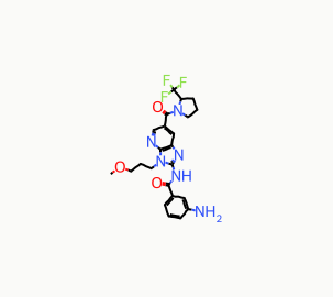 COCCCn1c(NC(=O)c2cccc(N)c2)nc2cc(C(=O)N3CCCC3C(F)(F)F)cnc21